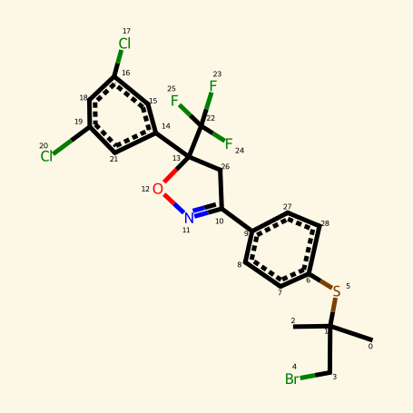 CC(C)(CBr)Sc1ccc(C2=NOC(c3cc(Cl)cc(Cl)c3)(C(F)(F)F)C2)cc1